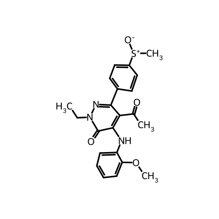 CCn1nc(-c2ccc([S+](C)[O-])cc2)c(C(C)=O)c(Nc2ccccc2OC)c1=O